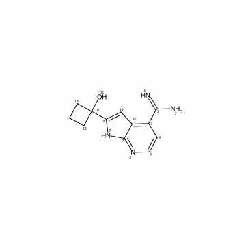 N=C(N)c1ccnc2[nH]c(C3(O)CCC3)cc12